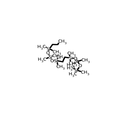 CCC[Si](C)(C)O[Si](C)(C)O[Si](C)(C)CC[Si](C)(C)O[Si](C)(C)O[Si](C)(C)C